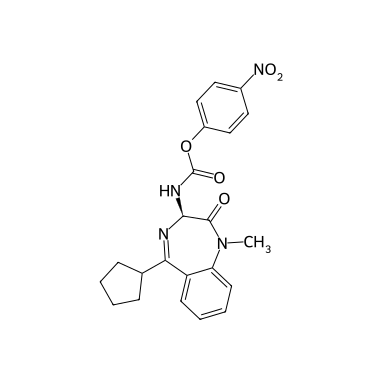 CN1C(=O)[C@H](NC(=O)Oc2ccc([N+](=O)[O-])cc2)N=C(C2CCCC2)c2ccccc21